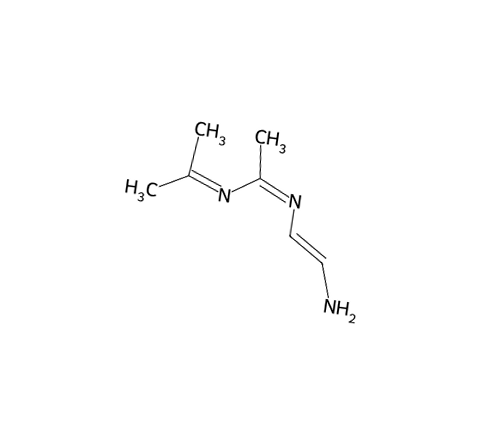 CC(C)=N/C(C)=N\C=CN